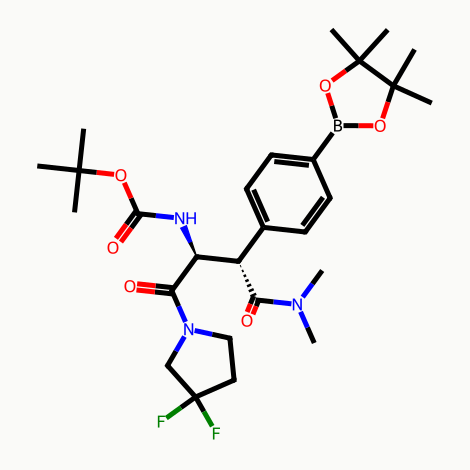 CN(C)C(=O)[C@@H](c1ccc(B2OC(C)(C)C(C)(C)O2)cc1)[C@H](NC(=O)OC(C)(C)C)C(=O)N1CCC(F)(F)C1